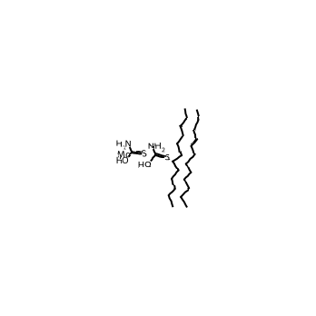 CCCCCCCCCCCC.CCCCCCCCCCCC.NC(O)=S.NC(O)=S.[Mo]